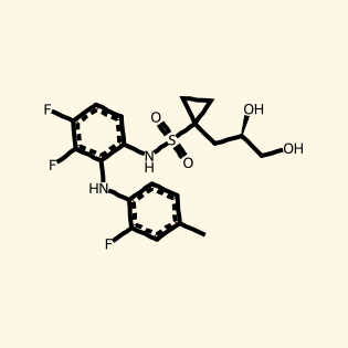 Cc1ccc(Nc2c(NS(=O)(=O)C3(C[C@@H](O)CO)CC3)ccc(F)c2F)c(F)c1